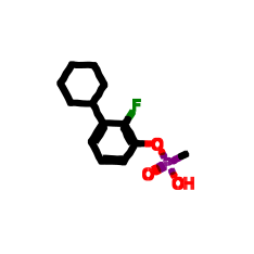 CP(=O)(O)Oc1cccc(C2CCCCC2)c1F